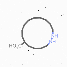 O=C(O)C1CCCCCCCCCNNCCCC1